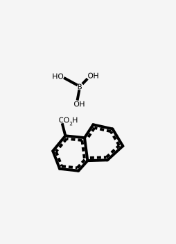 O=C(O)c1cccc2ccccc12.OB(O)O